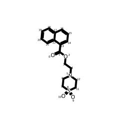 O=C(OCCN1CCS(=O)(=O)CC1)c1cccc2ccccc12